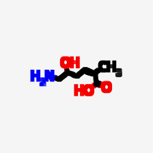 CC(=CCC(O)CN)C(=O)O